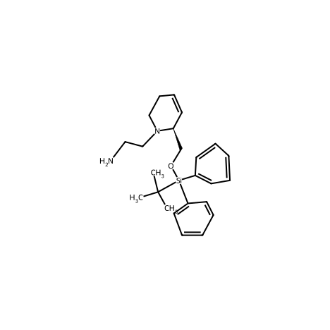 CC(C)(C)[Si](OC[C@@H]1C=CCCN1CCN)(c1ccccc1)c1ccccc1